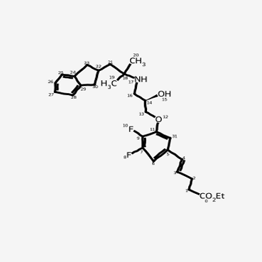 CCOC(=O)CCC=Cc1cc(F)c(F)c(OC[C@H](O)CNC(C)(C)CC2Cc3ccccc3C2)c1